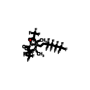 CN(C(=O)C(F)(F)F)[Si](CCC(F)(F)C(F)(F)C(F)(F)C(F)(F)F)(N(C)C(=O)C(F)(F)F)N(C)C(=O)C(F)(F)F